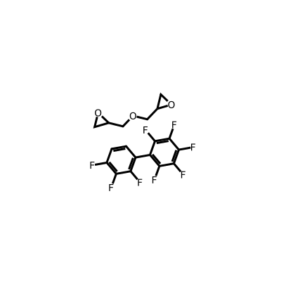 C(OCC1CO1)C1CO1.Fc1ccc(-c2c(F)c(F)c(F)c(F)c2F)c(F)c1F